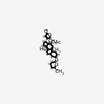 CC(=O)O[C@H]1CC2C(CCC3C[C@@H](O[C@H]4CCC[C@H](C)O4)CC[C@@]32C)[C@@]2(O)CC[C@H](C3=CC(=O)OC3)[C@@]12C